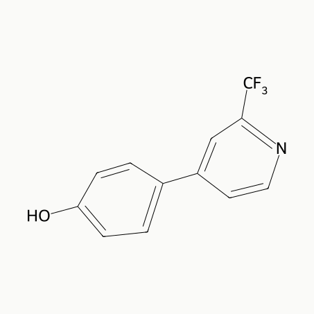 Oc1ccc(-c2ccnc(C(F)(F)F)c2)cc1